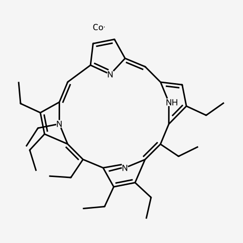 CCC1=C(CC)c2nc1c(CC)c1[nH]c(cc3nc(cc4c(CC)c(CC)c(c2CC)n4CC)C=C3)cc1CC.[Co]